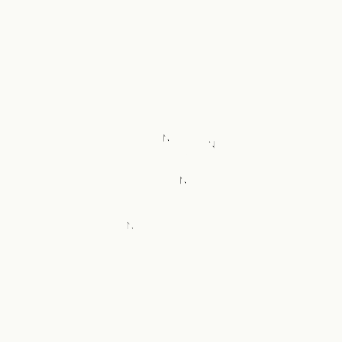 CN(Cc1ccncc1)c1ncccn1